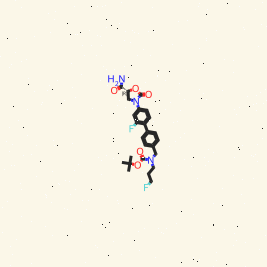 CC(C)(C)OC(=O)N(CCCF)Cc1ccc(-c2ccc(N3C[C@H](C(N)=O)OC3=O)cc2F)cc1